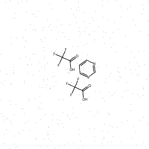 O=C(O)C(F)(F)F.O=C(O)C(F)(F)F.c1cncnc1